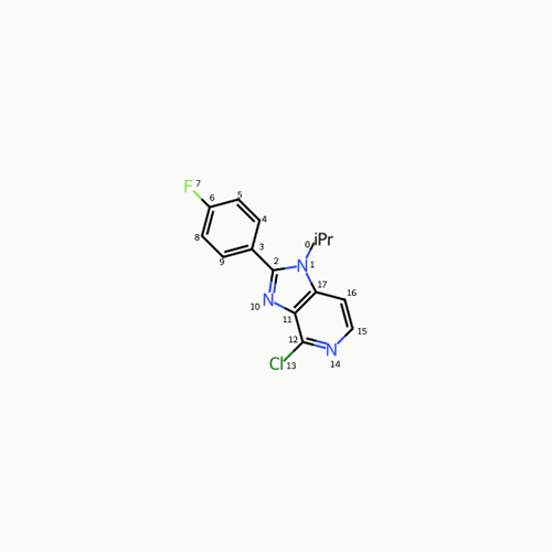 CC(C)n1c(-c2ccc(F)cc2)nc2c(Cl)nccc21